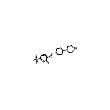 Cc1nc(S(C)(=O)=O)ccc1OC[C@H]1CC[C@H](N2CCNCC2)CC1